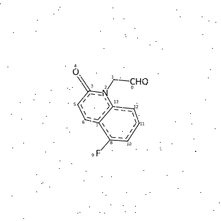 O=CCn1c(=O)ccc2c(F)cccc21